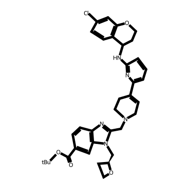 CC(C)(C)OC(=O)c1ccc2nc(CN3CC=C(c4cccc(NC5CCOc6cc(Cl)ccc65)n4)CC3)n(C[C@@H]3CCO3)c2c1